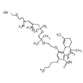 C=C(C)C1CCC(C)=CC1c1c(OCCOC(C)(C)COC(C)(C)C/C(N)=C/N(N)CCOCCO)cc(CCCCC)c(C(=O)O)c1O